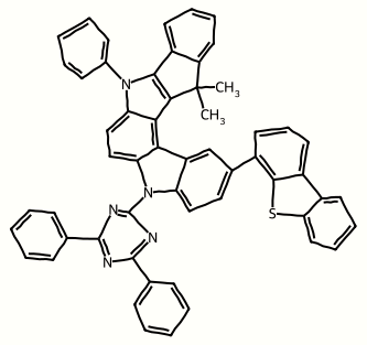 CC1(C)c2ccccc2-c2c1c1c3c4cc(-c5cccc6c5sc5ccccc56)ccc4n(-c4nc(-c5ccccc5)nc(-c5ccccc5)n4)c3ccc1n2-c1ccccc1